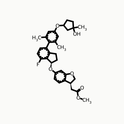 COC(=O)C[C@@H]1COc2cc(O[C@@H]3CCc4c(-c5c(C)cc(OC6CCC(C)(O)C6)cc5C)ccc(F)c43)ccc21